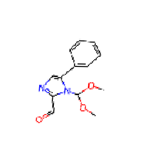 COC(OC)n1c(-c2ccccc2)cnc1C=O